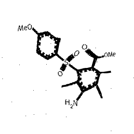 COC(=O)c1c(C)c(C)c(N)c(C)c1S(=O)(=O)c1ccc(OC)cc1